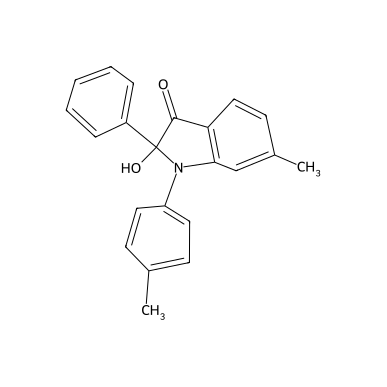 Cc1ccc(N2c3cc(C)ccc3C(=O)C2(O)c2ccccc2)cc1